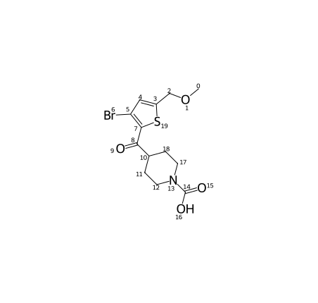 COCc1cc(Br)c(C(=O)C2CCN(C(=O)O)CC2)s1